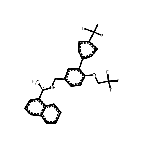 C[C@@H](NCc1ccc(OCC(F)(F)F)c(-c2ccc(C(F)(F)F)cc2)c1)c1cccc2ccccc12